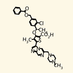 Cc1c(-c2cnc3cnc(CN4CCN(C)CC4)cn23)sc(C(=O)O)c1O[C@H](C)c1ccc(COC(=O)c2ccccc2)cc1Cl